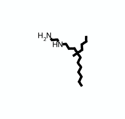 CCCCCCCC(C)(CCCC)CCCNCCN